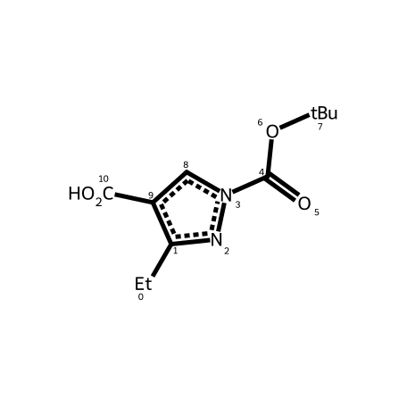 CCc1nn(C(=O)OC(C)(C)C)cc1C(=O)O